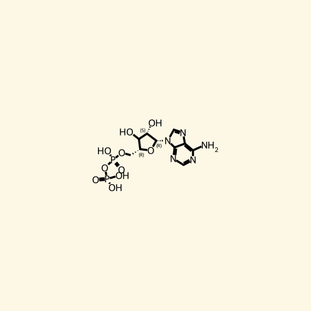 Nc1ncnc2c1ncn2[C@@H]1O[C@H](COP(=O)(O)OP(=O)(O)O)C(O)[C@@H]1O